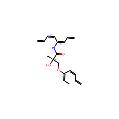 C=C/C=C\C(=C/C=C)NC(=O)[C@@](C)(O)COC(/C=C\C=C)=C/C